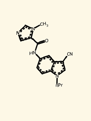 CCCn1cc(C#N)c2cc(NC(=O)c3cncn3C)ccc21